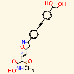 C[S+]([O-])C(/C=C/C1CC(c2ccc(C#Cc3ccc(C(O)CO)cc3)cc2)=NO1)C(=O)NO